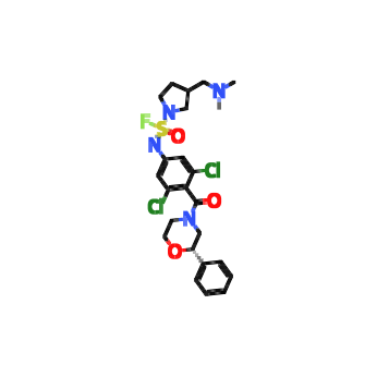 CN(C)CC1CCN(S(=O)(F)=Nc2cc(Cl)c(C(=O)N3CCO[C@@H](c4ccccc4)C3)c(Cl)c2)C1